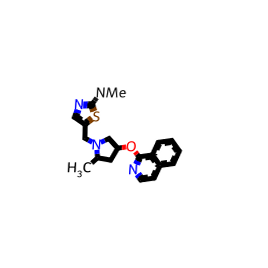 CNc1ncc(CN2CC(Oc3nccc4ccccc34)CC2C)s1